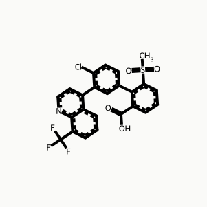 CS(=O)(=O)c1cccc(C(=O)O)c1-c1ccc(Cl)c(-c2ccnc3c(C(F)(F)F)cccc23)c1